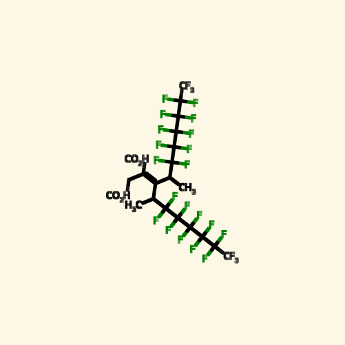 CC(C(=C(CC(=O)O)C(=O)O)C(C)C(F)(F)C(F)(F)C(F)(F)C(F)(F)C(F)(F)C(F)(F)F)C(F)(F)C(F)(F)C(F)(F)C(F)(F)C(F)(F)C(F)(F)F